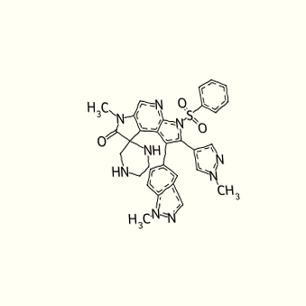 CN1C(=O)C2(CNCCN2)c2c1cnc1c2c(-c2ccc3c(cnn3C)c2)c(-c2cnn(C)c2)n1S(=O)(=O)c1ccccc1